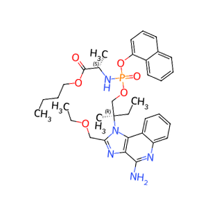 CCCCOC(=O)[C@H](C)NP(=O)(OC[C@@](C)(CC)n1c(COCC)nc2c(N)nc3ccccc3c21)Oc1cccc2ccccc12